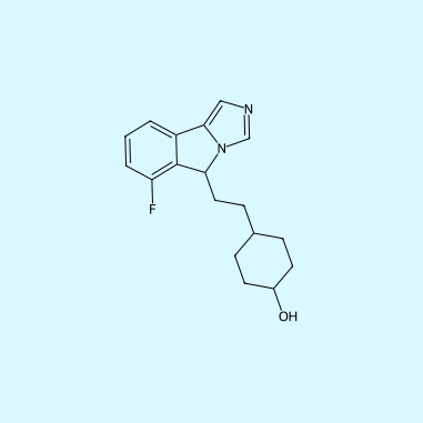 OC1CCC(CCC2c3c(F)cccc3-c3cncn32)CC1